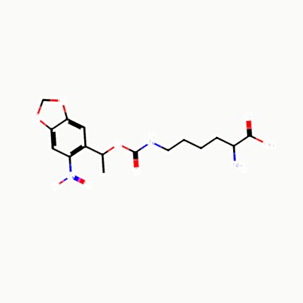 CC(OC(=O)NCCCCC(N)C(=O)O)c1cc2c(cc1[N+](=O)[O-])OCO2